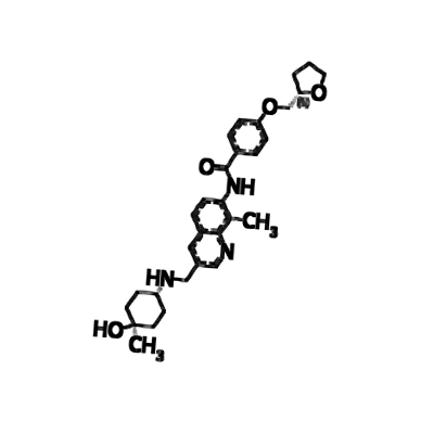 Cc1c(NC(=O)c2ccc(OC[C@@H]3CCCO3)cc2)ccc2cc(CN[C@H]3CC[C@](C)(O)CC3)cnc12